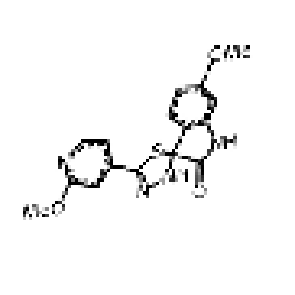 COc1ccc2c(c1)NC(=O)C21NN=C(c2ccnc(OC)c2)S1